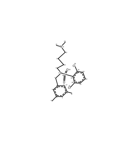 Cc1cc(C)cc(CN(CCCCN(C)C)S(=O)(=O)c2c(Cl)cccc2Cl)c1